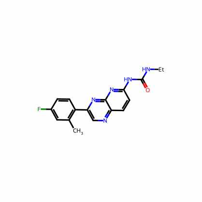 CCNC(=O)Nc1ccc2ncc(-c3ccc(F)cc3C)nc2n1